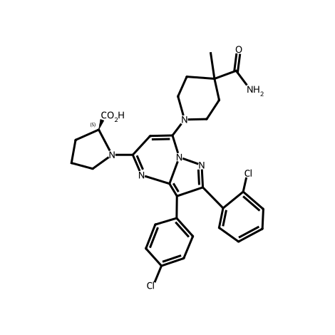 CC1(C(N)=O)CCN(c2cc(N3CCC[C@H]3C(=O)O)nc3c(-c4ccc(Cl)cc4)c(-c4ccccc4Cl)nn23)CC1